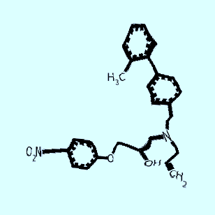 C=CCN(Cc1ccc(-c2ccccc2C)cc1)CC(O)COc1ccc([N+](=O)[O-])cc1